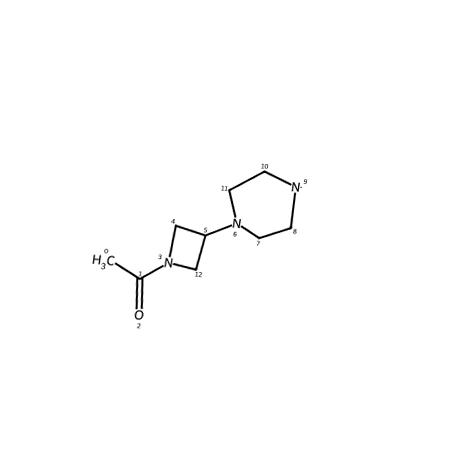 CC(=O)N1CC(N2CC[N]CC2)C1